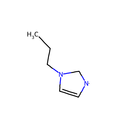 CCCN1C=C[N]C1